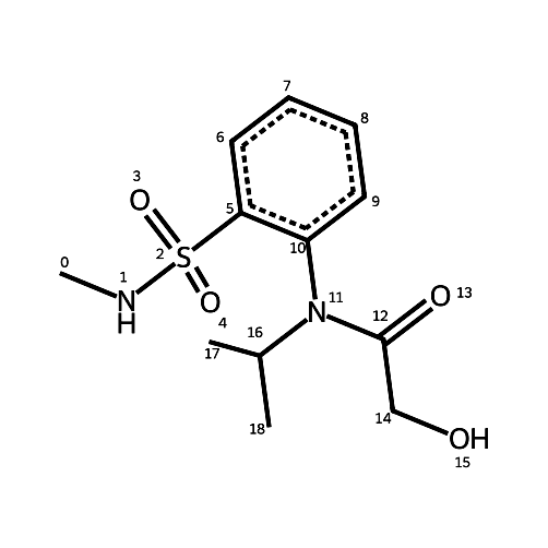 CNS(=O)(=O)c1ccccc1N(C(=O)CO)C(C)C